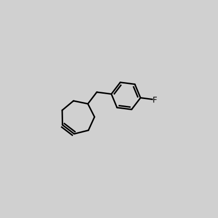 Fc1ccc(CC2CCC#CCC2)cc1